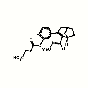 CCC(=NOC)C1=C(c2cc[c]c(OC(=O)CCC(=O)O)c2)CC2CC[C@H]1S2